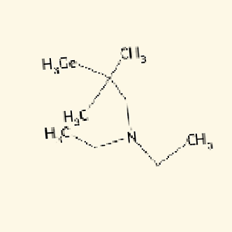 CCN(CC)C[C](C)(C)[GeH3]